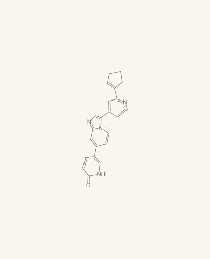 O=c1ccc(-c2ccn3c(-c4ccnc(C5=CCCC5)c4)cnc3c2)c[nH]1